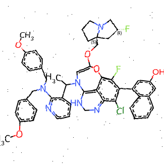 COc1ccc(CN(Cc2ccc(OC)cc2)c2ncccc2C(C)N2C=C(OC[C@@]34CCCN3C[C@H](F)C4)Oc3c(F)c(-c4cc(O)cc5ccccc45)c(Cl)c4c3=C2NCN=4)cc1